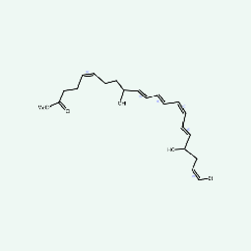 CC/C=C\CC(O)/C=C/C=C\C=C\C=C\C(O)CC/C=C\CCC(=O)OC